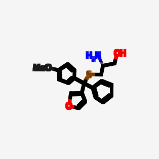 COc1ccc(C(SC[C@H](N)CO)(c2ccccc2)c2ccoc2)cc1